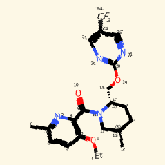 CCOc1ccc(C)nc1C(=O)N1C[C@H](C)CC[C@H]1COc1ncc(C(F)(F)F)cn1